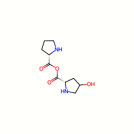 O=C(OC(=O)[C@@H]1CC(O)CN1)[C@@H]1CCCN1